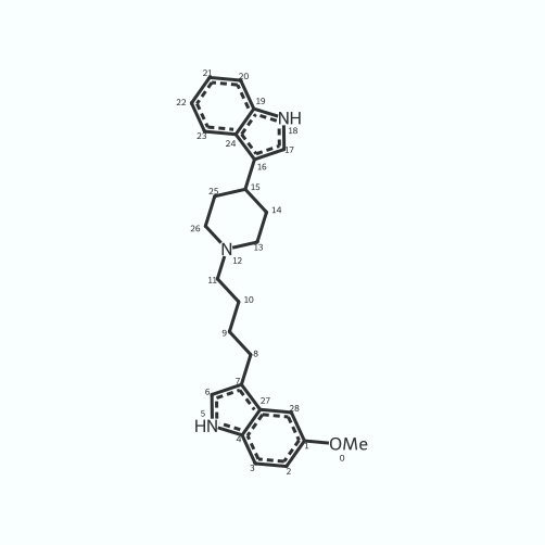 COc1ccc2[nH]cc(CCCCN3CCC(c4c[nH]c5ccccc45)CC3)c2c1